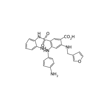 Nc1ccc(Nc2cc(NCc3ccoc3)c(C(=O)O)cc2S(=O)(=O)Nc2ccccc2N)cc1